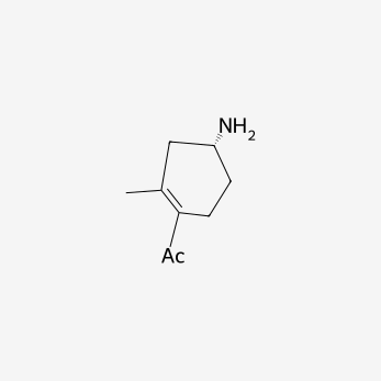 CC(=O)C1=C(C)C[C@H](N)CC1